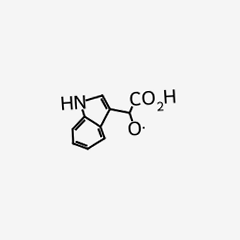 [O]C(C(=O)O)c1c[nH]c2ccccc12